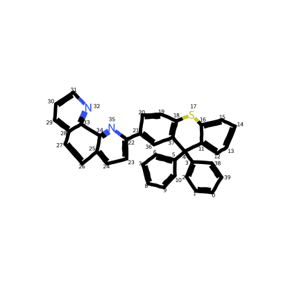 c1ccc(C2(c3ccccc3)c3ccccc3Sc3ccc(-c4ccc5ccc6cccnc6c5n4)cc32)cc1